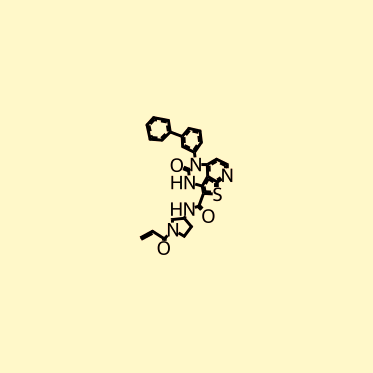 C=CC(=O)N1CCC(NC(=O)c2sc3nccc4c3c2NC(=O)N4c2cccc(-c3ccccc3)c2)C1